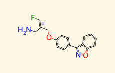 NC/C(=C\F)COc1ccc(-c2noc3ccccc23)cc1